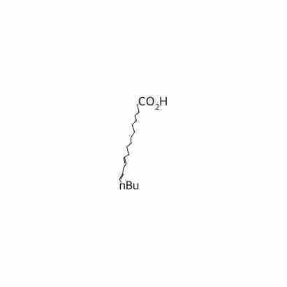 CCCCC=CCC=CCCCCCCCCCCC(=O)O